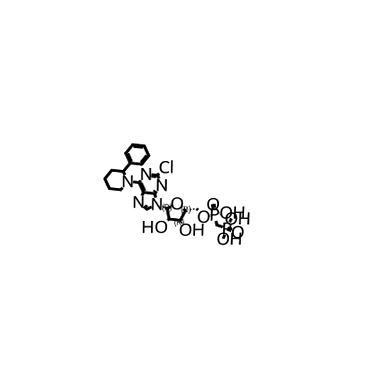 O=P(O)(O)CP(=O)(O)OC[C@H]1O[C@@H](n2cnc3c(N4CCCCC4c4ccccc4)nc(Cl)nc32)C(O)[C@H]1O